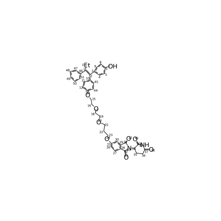 CC/C(=C(\c1ccc(O)cc1)c1ccc(OCCOCCOCCCOc2ccc3c(c2)C(=O)N(C2CCC(=O)NC2=O)C3=O)cc1)c1ccccc1